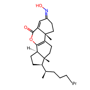 CC(C)CCC[C@@H](C)[C@H]1CC[C@H]2C3=C(CC[C@]12C)[C@@]1(C)CC/C(=N/O)C=C1C(=O)O3